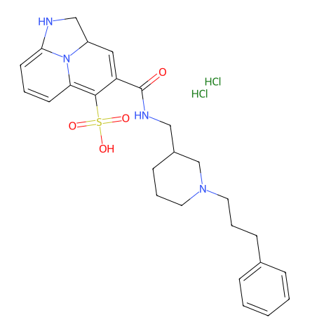 Cl.Cl.O=C(NCC1CCCN(CCCc2ccccc2)C1)C1=CC2CNC3=CC=CC(=C1S(=O)(=O)O)N32